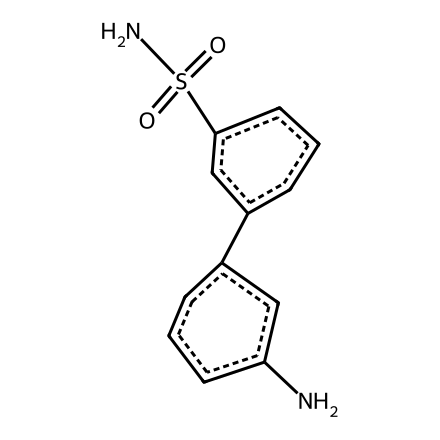 Nc1cccc(-c2cccc(S(N)(=O)=O)c2)c1